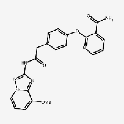 COc1cccn2nc(NC(=O)Cc3ccc(Oc4ncccc4C(N)=O)cc3)nc12